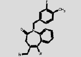 Cc1ccc(CN2C(=O)CC(CBr)=C(Br)c3ccccc32)cc1F